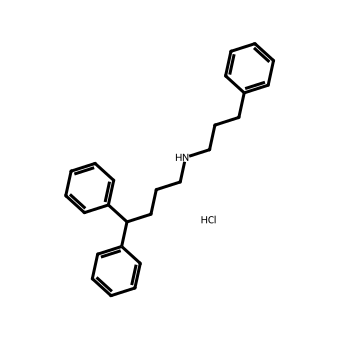 Cl.c1ccc(CCCNCCCC(c2ccccc2)c2ccccc2)cc1